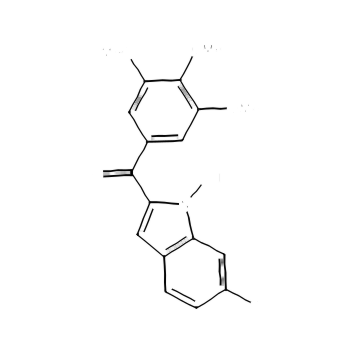 COc1cc(C(=O)c2cc3ccc(Cl)cc3n2C)cc(OC)c1OC